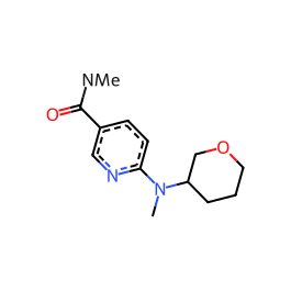 CNC(=O)c1ccc(N(C)C2CCCOC2)nc1